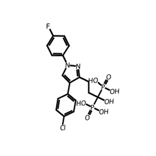 O=P(O)(O)C(O)(CCc1nn(-c2ccc(F)cc2)cc1-c1ccc(Cl)cc1)P(=O)(O)O